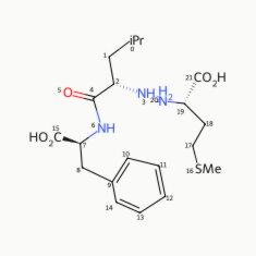 CC(C)C[C@H](N)C(=O)N[C@@H](Cc1ccccc1)C(=O)O.CSCC[C@H](N)C(=O)O